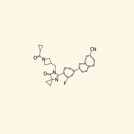 N#Cc1ccc2ccc(-c3ccc(C4=NC5(CC5)C(=O)N4CC4CN(C(=O)C5CC5)C4)c(F)c3)cc2c1